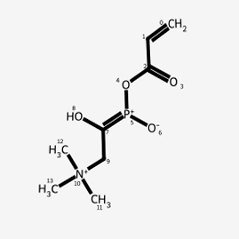 C=CC(=O)O/[P+]([O-])=C(\O)C[N+](C)(C)C